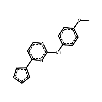 COc1ccc(Nc2nccc(-c3ccsc3)n2)cc1